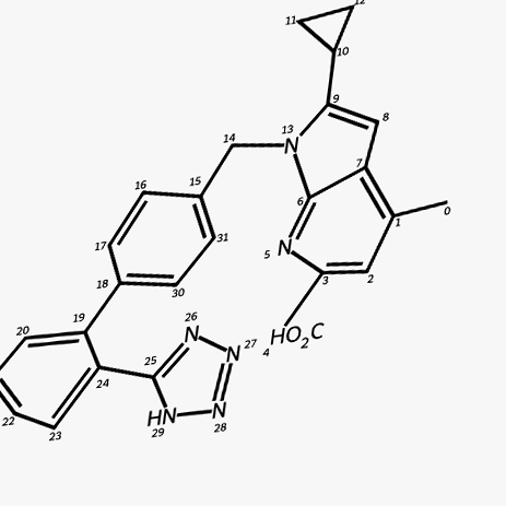 Cc1cc(C(=O)O)nc2c1cc(C1CC1)n2Cc1ccc(-c2ccccc2-c2nnn[nH]2)cc1